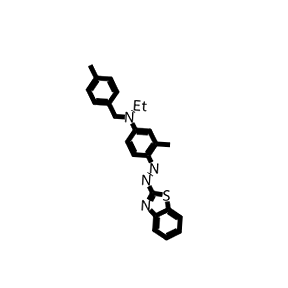 CCN(Cc1ccc(C)cc1)c1ccc(N=Nc2nc3ccccc3s2)c(C)c1